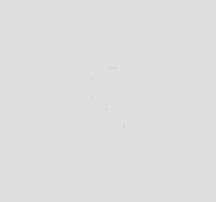 COc1ccc(-c2c3c(c(-c4ccccc4)c4ccccc24)-c2cccc4cccc-3c24)cc1Br